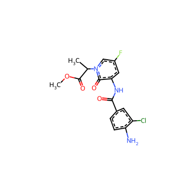 COC(=O)C(C)n1cc(F)cc(NC(=O)c2ccc(N)c(Cl)c2)c1=O